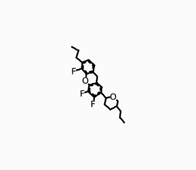 CCCc1ccc2c(c1F)Oc1c(cc(C3CCC(CCC)CO3)c(F)c1F)C2